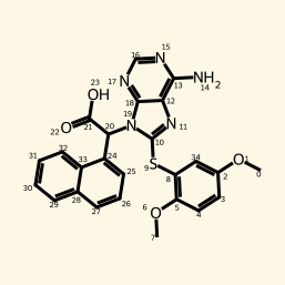 COc1ccc(OC)c(Sc2nc3c(N)ncnc3n2C(C(=O)O)c2cccc3ccccc23)c1